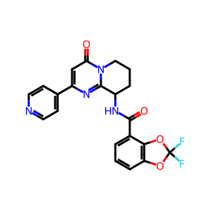 O=C(NC1CCCn2c1nc(-c1ccncc1)cc2=O)c1cccc2c1OC(F)(F)O2